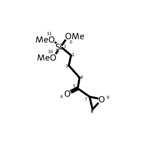 CO[Si](CCCC(=O)C1CO1)(OC)OC